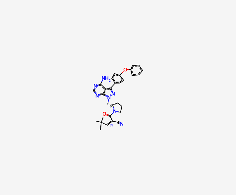 CC(C)(C)/C=C(/C#N)C(=O)N1CCC[C@H]1Cn1nc(-c2ccc(Oc3ccccc3)cc2)c2c(N)ncnc21